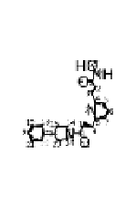 O=C(/C=C/c1cccc(/C=C/C(=O)N2CCC(c3ccccc3)CC2)n1)NO